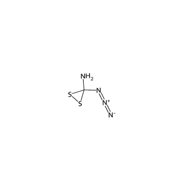 [N-]=[N+]=NC1(N)SS1